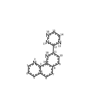 c1cnc2c(c1)ccc1ccc(-c3nccnn3)nc12